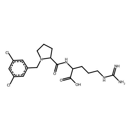 N=C(N)NCCCC(NC(=O)C1CCCN1Cc1cc(Cl)cc(Cl)c1)C(=O)O